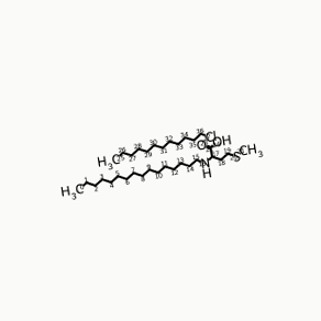 CCCCCCCCCCCCCCCCNC(CCSC)C(=O)O.CCCCCCCCCCCCCl